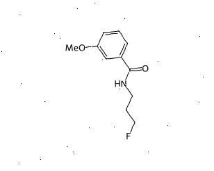 COc1cccc(C(=O)NCCCF)c1